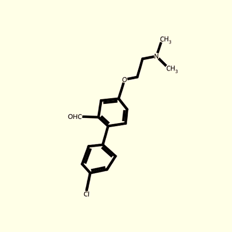 CN(C)CCOc1ccc(-c2ccc(Cl)cc2)c(C=O)c1